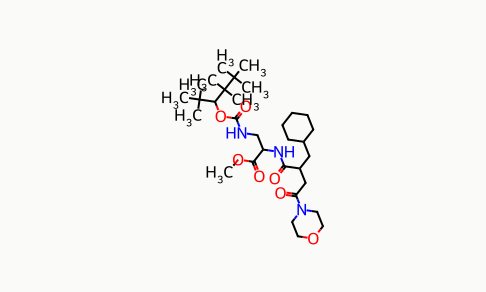 COC(=O)C(CNC(=O)OC(C(C)(C)C)C(C)(C)C(C)(C)C)NC(=O)C(CC(=O)N1CCOCC1)CC1CCCCC1